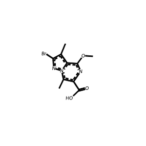 COc1nc(C(=O)O)c(C)n2nc(Br)c(C)c12